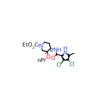 CCCO[C@H]1CN(C(=O)OCC)CC[C@H]1NC(=O)c1[nH]c(C)c(Cl)c1Cl